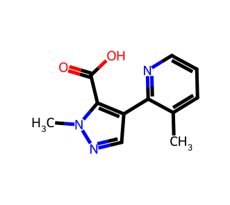 Cc1cccnc1-c1cnn(C)c1C(=O)O